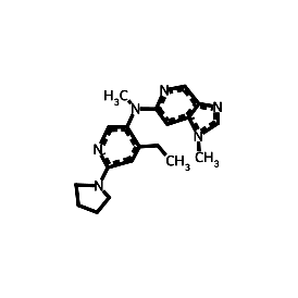 CCc1cc(N2CCCC2)ncc1N(C)c1cc2c(cn1)ncn2C